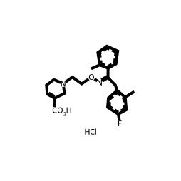 Cc1cc(F)ccc1CC(=NOCCN1CCC=C(C(=O)O)C1)c1ccccc1C.Cl